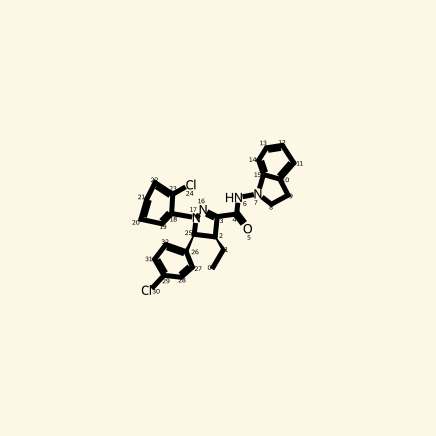 CC[C@@H]1C(C(=O)NN2CCc3ccccc32)=NN(c2ccccc2Cl)[C@@H]1c1ccc(Cl)cc1